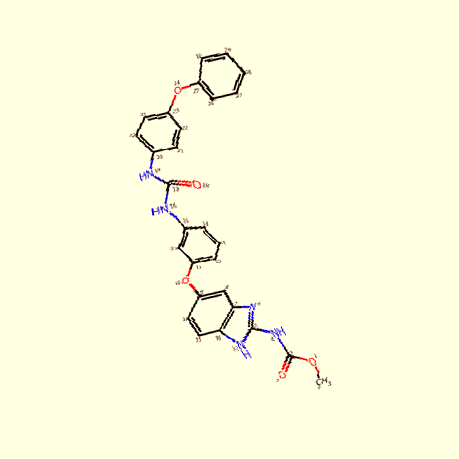 COC(=O)Nc1nc2cc(Oc3cccc(NC(=O)Nc4ccc(Oc5ccccc5)cc4)c3)ccc2[nH]1